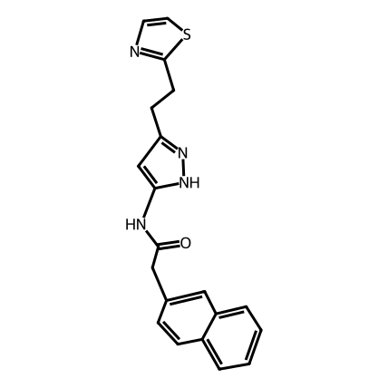 O=C(Cc1ccc2ccccc2c1)Nc1cc(CCc2nccs2)n[nH]1